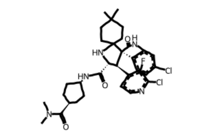 CN(C)C(=O)[C@H]1CC[C@H](NC(=O)[C@@H]2NC3(CCC(C)(C)CC3)[C@@]3(C(=O)Nc4cc(Cl)ccc43)[C@H]2c2ccnc(Cl)c2F)CC1